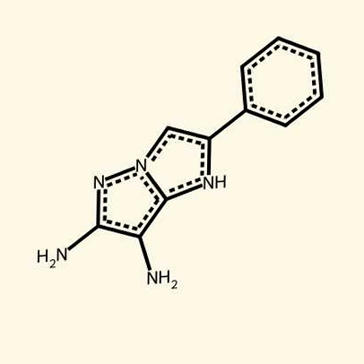 Nc1nn2cc(-c3ccccc3)[nH]c2c1N